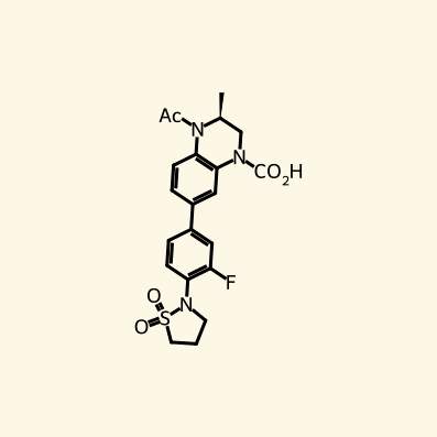 CC(=O)N1c2ccc(-c3ccc(N4CCCS4(=O)=O)c(F)c3)cc2N(C(=O)O)C[C@@H]1C